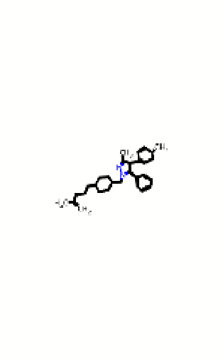 C=C(C)CCCC1CCC(CN2N=C(C)C(C3=CCC(C)C=C3)C2c2ccccc2)CC1